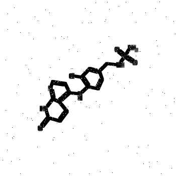 NS(=O)(=O)NCc1ccc(Nc2ccnc3[nH]c(=O)ccc23)c(Cl)c1